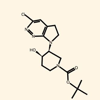 CC(C)(C)OC(=O)N1CC[C@@H](O)[C@@H](N2CCc3cc(Cl)nnc32)C1